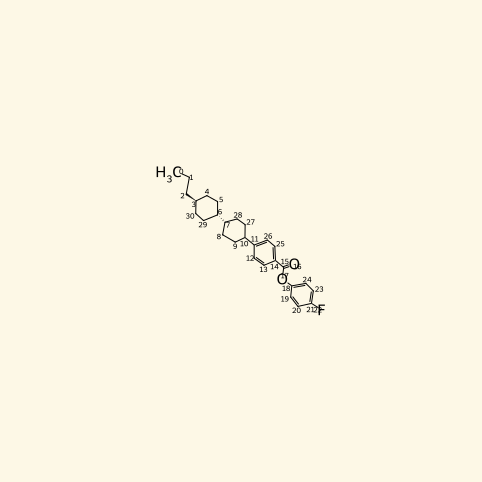 CCC[C@H]1CC[C@H](C2CCC(c3ccc(C(=O)Oc4ccc(F)cc4)cc3)CC2)CC1